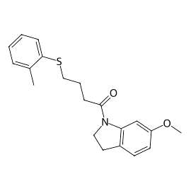 COc1ccc2c(c1)N(C(=O)CCCSc1ccccc1C)CC2